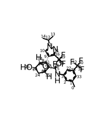 Cc1cc(NC(=O)[C@@H]2[C@@H](c3cn(C(C)C)nc3C(F)(F)F)[C@H]3O[C@@H]2C[C@@H]3O)cc(C(F)(F)F)c1